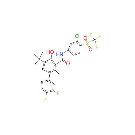 Cc1c(-c2ccc(F)c(F)c2)cc(C(C)(C)C)c(O)c1C(=O)Nc1ccc(S(=O)(=O)C(F)(F)F)c(Cl)c1